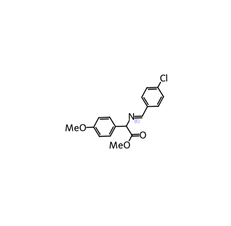 COC(=O)C(/N=C/c1ccc(Cl)cc1)c1ccc(OC)cc1